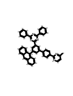 Cc1ccnc(-c2ccc(-c3cc(-c4nc(-c5ccccc5)nc(-c5ccccc5)n4)cc(-c4c5ccccc5cc5ccccc45)c3)cc2)n1